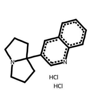 Cl.Cl.c1ccc2ncc(C34CCCN3CCC4)cc2c1